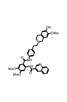 COc1cc2c(cc1O)CCN(CCc1ccc(NC(=O)c3cc(OC)c(OC)cc3NC(=O)c3cnc4ccccc4c3)cc1)C2